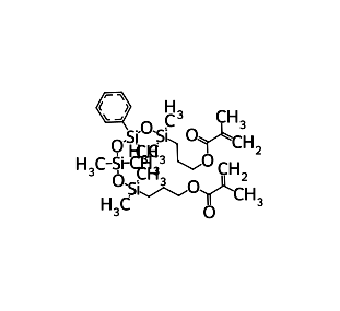 C=C(C)C(=O)OCCC[Si](C)(C)O[Si](C)(C)O[Si](C)(O[Si](C)(C)CCCOC(=O)C(=C)C)c1ccccc1